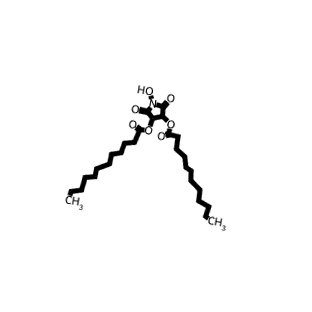 CCCCCCCCCCCC(=O)OC1C(=O)N(O)C(=O)C1OC(=O)CCCCCCCCCCC